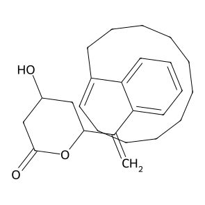 C=C(c1ccccc1/C1=C\CCCCCCCCCC1)C1CC(O)CC(=O)O1